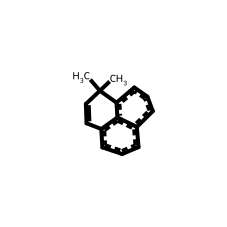 CC1(C)C=Cc2cccc3cccc1c23